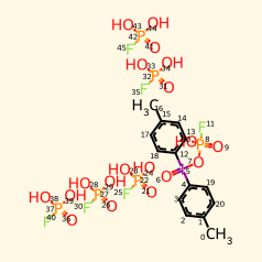 Cc1ccc(I(=O)(OP(=O)(O)F)c2ccc(C)cc2)cc1.O=P(O)(O)F.O=P(O)(O)F.O=P(O)(O)F.O=P(O)(O)F.O=P(O)(O)F